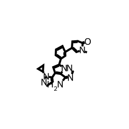 Cn1cc(-c2cccc(-c3cc(-c4ccnn4C4CC4)c4c(N)ncnn34)c2)ccc1=O